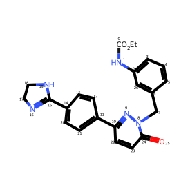 CCOC(=O)Nc1cccc(Cn2nc(-c3ccc(C4=NCCN4)cc3)ccc2=O)c1